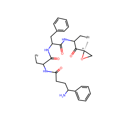 CC(C)CC(NC(=O)CCC(N)c1ccccc1)C(=O)NC(Cc1ccccc1)C(=O)NC(CC(C)C)C(=O)[C@@]1(C)CO1